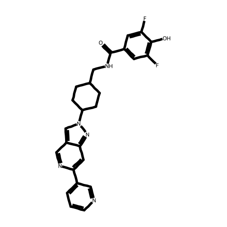 O=C(NCC1CCC(n2cc3cnc(-c4cccnc4)cc3n2)CC1)c1cc(F)c(O)c(F)c1